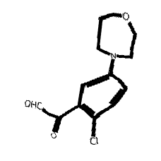 O=CC(=O)c1cc(N2CCOCC2)ccc1Cl